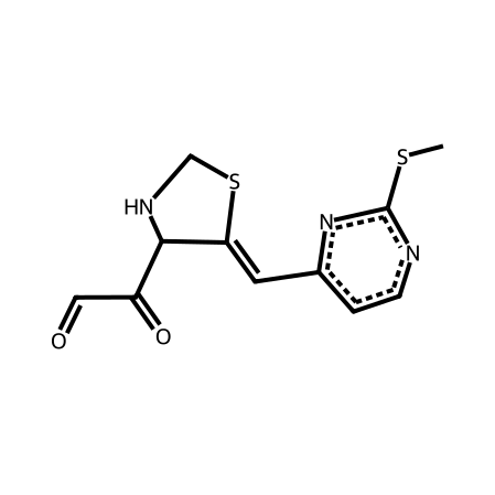 CSc1nccc(/C=C2\SCNC2C(=O)C=O)n1